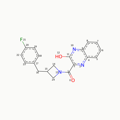 O=C(c1nc2ccccc2nc1O)N1CC(Cc2ccc(F)cc2)C1